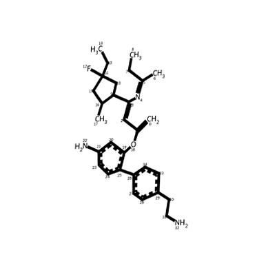 C=C(/C=C(\N=C(\C)CC)C1CC(F)(CC)CC1C)Oc1cc(N)ccc1-c1ccc(CCN)cc1